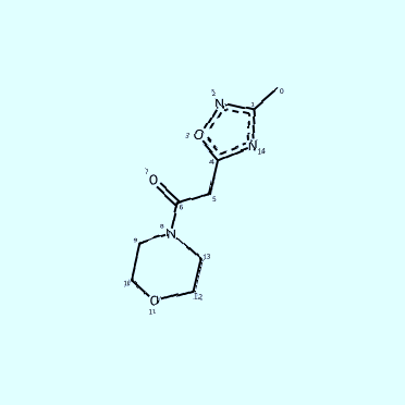 Cc1noc(CC(=O)N2CCOCC2)n1